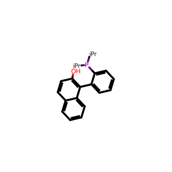 CC(C)P(c1ccccc1-c1c(O)ccc2ccccc12)C(C)C